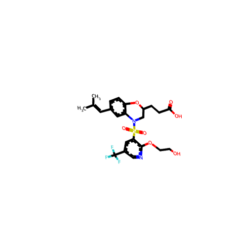 CC(C)=Cc1ccc2c(c1)N(S(=O)(=O)c1cc(C(F)(F)F)cnc1OCCO)CC(CCC(=O)O)O2